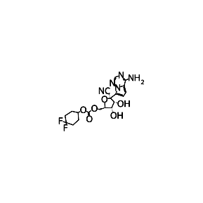 N#C[C@@]1(c2ccc3c(N)ncnn23)O[C@H](COC(=O)OC2CCC(F)(F)CC2)[C@@H](O)[C@H]1O